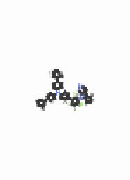 Fc1c(F)c(-c2ccc(N(c3ccc(-c4ccccc4)cc3)c3ccc(-c4ccccc4)cc3)cc2)c(F)c(-n2c3ccccc3c3ccncc32)c1F